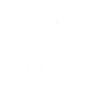 Cn1c(=O)n(C23CC4CC(CC(O)(C4)C2)C3)c2nc(Nc3cn4ncnc4cc3F)ncc21